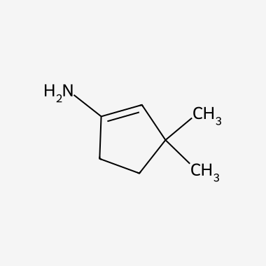 CC1(C)C=C(N)CC1